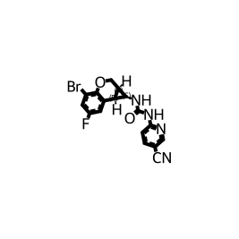 N#Cc1ccc(NC(=O)N[C@@H]2[C@@H]3COc4c(Br)cc(F)cc4[C@@H]32)nc1